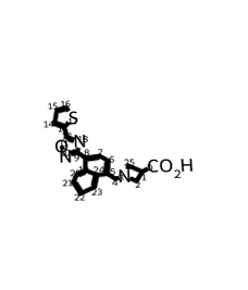 O=C(O)C1CN(Cc2ccc(-c3noc(-c4cccs4)n3)c3ccccc23)C1